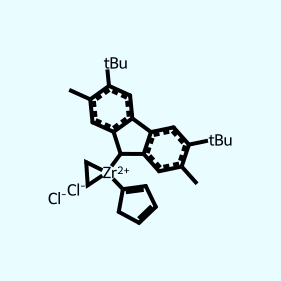 Cc1cc2c(cc1C(C)(C)C)-c1cc(C(C)(C)C)c(C)cc1[CH]2[Zr+2]1([C]2=CC=CC2)[CH2][CH2]1.[Cl-].[Cl-]